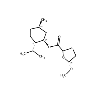 CO[C@H]1CSC(C(=O)O[C@@H]2C[C@H](C)CC[C@H]2C(C)C)O1